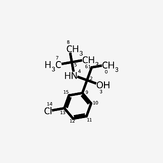 CCC(O)(NC(C)(C)C)c1cccc(Cl)c1